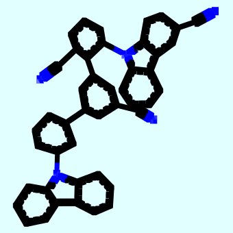 N#Cc1cc(-c2cccc(-n3c4ccccc4c4ccccc43)c2)cc(-c2c(C#N)cccc2-n2c3ccccc3c3cc(C#N)ccc32)c1